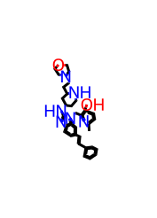 Cc1ccc(O)c(Cn2c(NC3CCNC(CCN4CCOCC4)C3)nc3ccc(C=Cc4ccccc4)cc32)n1